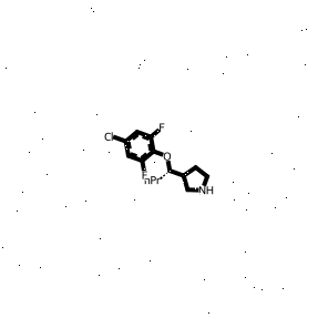 CCC[C@H](Oc1c(F)cc(Cl)cc1F)C1CCNC1